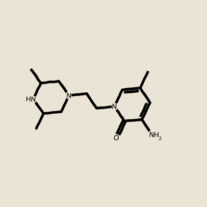 Cc1cc(N)c(=O)n(CCN2CC(C)NC(C)C2)c1